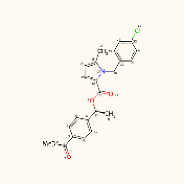 COC(=O)c1ccc([C@H](C)OC(=O)c2ccc(C)n2Cc2ccc(Cl)cc2)cc1